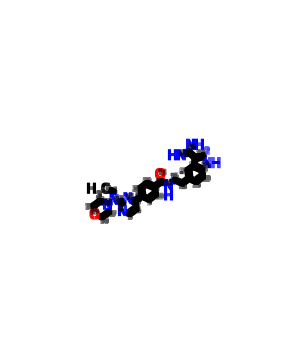 CCN(c1nccc(-c2ccc(C(=O)NCCc3ccc4[nH]cc(C(=N)N)c4c3)cc2)n1)N1CCOCC1